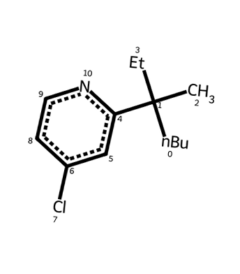 CCCCC(C)(CC)c1cc(Cl)ccn1